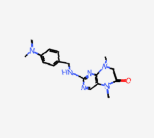 CN(C)c1ccc(CNc2ncc3c(n2)N(C)CC(=O)N3C)cc1